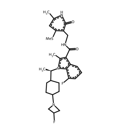 CSc1cc(C)[nH]c(=O)c1CNC(=O)c1c(C)n([C@H](C)C2CCC(N3CC(F)C3)CC2)c2c(F)cccc12